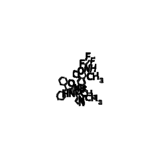 CC(C(=O)NC(F)C(F)F)c1cc(F)c(NC(=O)[C@@H](NC(=O)c2ccnn2C(C)C)C(C2CCCCC2)C2CCCCC2)cc1Cl